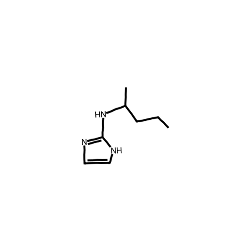 CCCC(C)Nc1ncc[nH]1